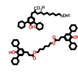 CCCCCCCCCCCCCCCCCCC(Cc1cc(C2CCCCC2)c(O)c(C2CCCCC2)c1)C(=O)O.O=C(CCc1cc(C2CCCCC2)c(O)c(C2CCCCC2)c1)OCCCCCCOC(=O)CCc1cc(C2CCCCC2)c(O)c(C2CCCCC2)c1